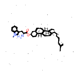 CC(C)CCC[C@@H](C)[C@H]1CC[C@H]2[C@@H]3CC=C4C[C@@H](OC(=O)[C@H](N)Cc5cn(C)c6ccccc56)CC[C@]4(C)[C@H]3CC[C@]12C